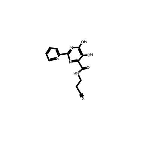 N#CCCNC(=O)c1nc(-c2ccccn2)nc(O)c1O